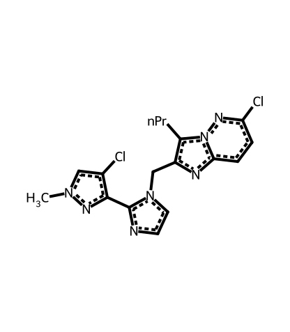 CCCc1c(Cn2ccnc2-c2nn(C)cc2Cl)nc2ccc(Cl)nn12